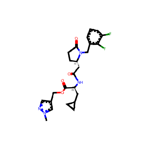 Cn1cc(COC(=O)[C@H](CC2CC2)NC(=O)C[C@@H]2CCC(=O)N2Cc2cccc(F)c2F)cn1